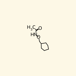 CC(=O)NOCC1CCCCC1